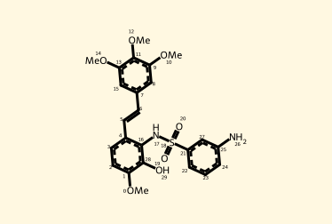 COc1ccc(C=Cc2cc(OC)c(OC)c(OC)c2)c(NS(=O)(=O)c2cccc(N)c2)c1O